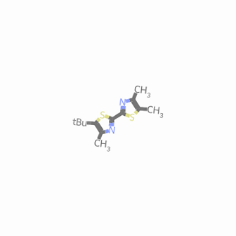 Cc1nc(-c2nc(C)c(C(C)(C)C)s2)sc1C